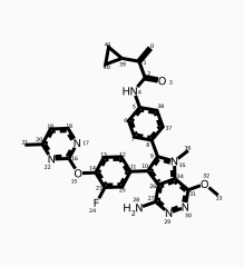 C=C(C(=O)Nc1ccc(-c2c(-c3ccc(Oc4nccc(C)n4)c(F)c3)c3c(N)nnc(OC)c3n2C)cc1)C1CC1